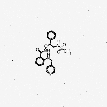 CS(=O)(=O)NCC(ONC(=O)c1ccccc1NCc1ccncc1)c1ccccc1